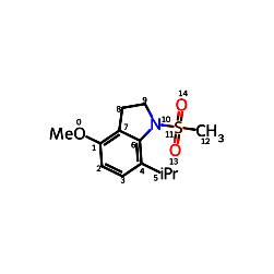 COc1ccc(C(C)C)c2c1CCN2S(C)(=O)=O